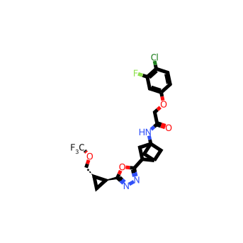 O=C(COc1ccc(Cl)c(F)c1)NC12CC(C1)C(c1nnc([C@H]3C[C@@H]3COC(F)(F)F)o1)C2